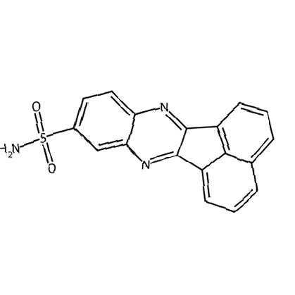 NS(=O)(=O)c1ccc2nc3c(nc2c1)-c1cccc2cccc-3c12